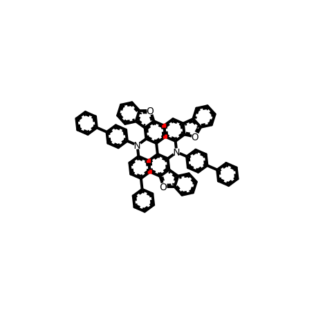 c1ccc(-c2ccc(N(c3ccc(-c4ccccc4)cc3)c3c(-c4ccc5oc6ccccc6c5c4N(c4ccc(-c5ccccc5)cc4)c4cccc5c4oc4ccccc45)ccc4oc5ccccc5c34)cc2)cc1